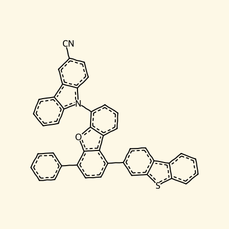 N#Cc1ccc2c(c1)c1ccccc1n2-c1cccc2c1oc1c(-c3ccccc3)ccc(-c3ccc4c(c3)sc3ccccc34)c12